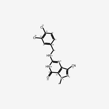 Cn1nc(C#N)c2nc(NCc3ccc(Cl)c(Cl)c3)[nH]c(=O)c21